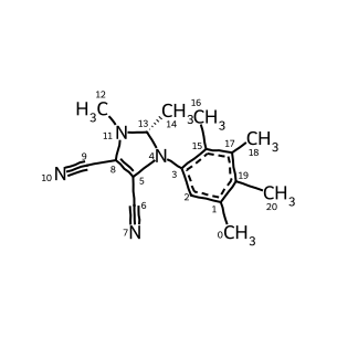 Cc1cc(N2C(C#N)=C(C#N)N(C)[C@@H]2C)c(C)c(C)c1C